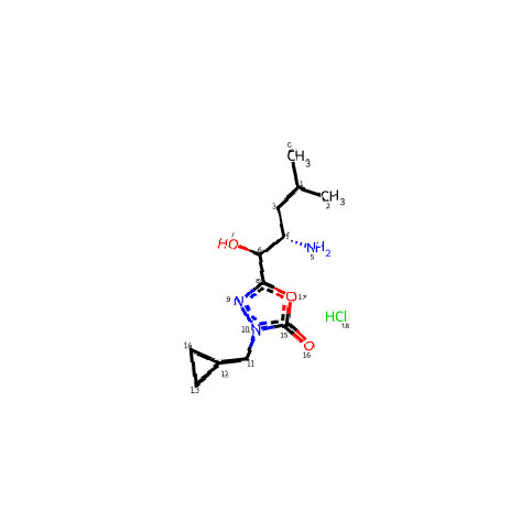 CC(C)C[C@H](N)C(O)c1nn(CC2CC2)c(=O)o1.Cl